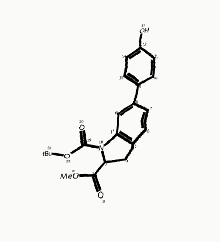 COC(=O)C1Cc2ccc(-c3ccc(O)cc3)cc2N1C(=O)OC(C)(C)C